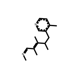 C/N=C\C(C)=C(/C)C(C)Cc1cnccc1C